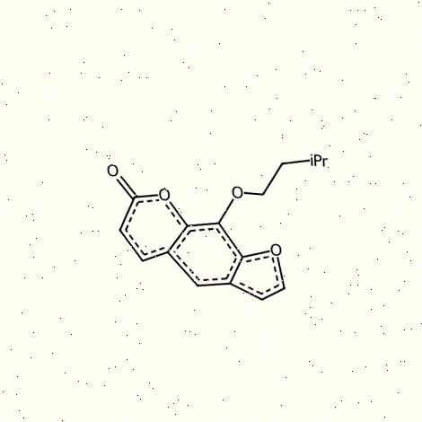 CC(C)CCOc1c2occc2cc2ccc(=O)oc12